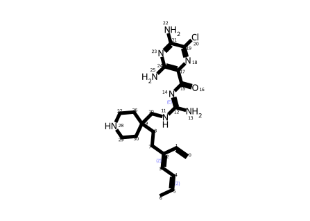 C=C/C(=C\C=C/C)CCC1(CN/C(N)=N/C(=O)c2nc(Cl)c(N)nc2N)CCNCC1